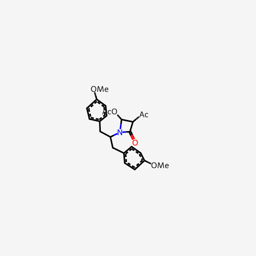 COc1ccc(CC(Cc2ccc(OC)cc2)N2C(=O)C(C(C)=O)C2OC(C)=O)cc1